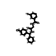 O=C(CNC(=O)c1cccc(F)c1)NC(c1ccccc1)c1ccc(Cl)cc1